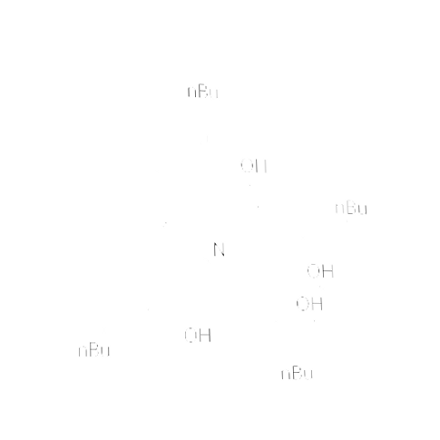 CCCCC(O)CC(CC(O)CCCC)N(CC(O)CCCC)CC(O)CCCC